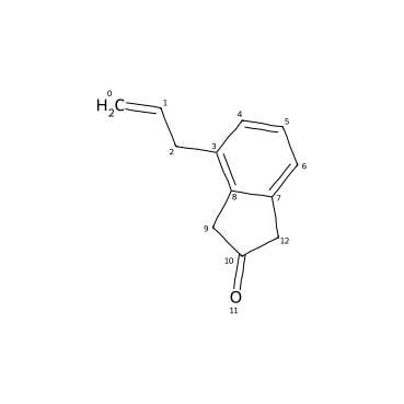 C=CCc1cccc2c1CC(=O)C2